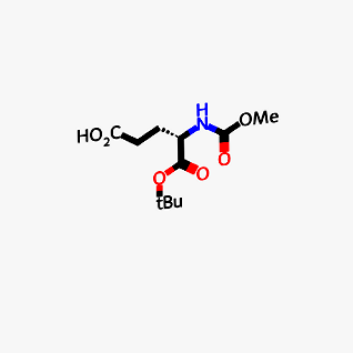 COC(=O)N[C@@H](CCC(=O)O)C(=O)OC(C)(C)C